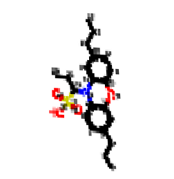 CCCc1ccc2c(c1)Oc1ccc(CCC)cc1N2C(CC)S(=O)(=O)O